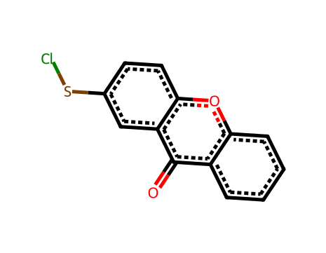 O=c1c2ccccc2oc2ccc(SCl)cc12